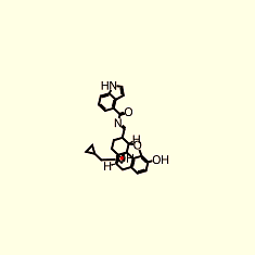 O=C(/N=C/C1CC[C@@]2(O)[C@H]3Cc4ccc(O)c5c4[C@@]2(CCN3CC2CC2)[C@H]1O5)c1cccc2[nH]ccc12